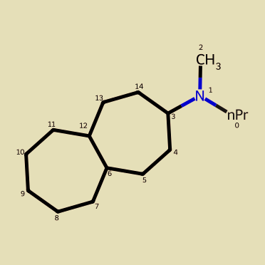 CCCN(C)C1CCC2CCCCCC2CC1